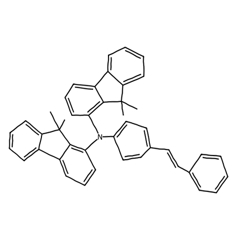 CC1(C)c2ccccc2-c2cccc(N(c3ccc(C=Cc4ccccc4)cc3)c3cccc4c3C(C)(C)c3ccccc3-4)c21